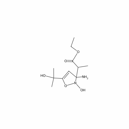 CCOC(=O)C(C)C1(N)C=C(C(C)(C)O)ON1O